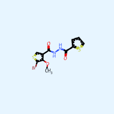 COc1c(C(=O)NNC(=O)c2cccs2)csc1Br